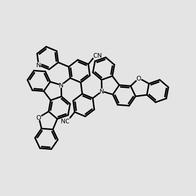 N#Cc1ccc(-n2c3ccccc3c3c4oc5ccccc5c4ccc32)c(-c2cc(C#N)cc(-c3cccnc3)c2-n2c3ccccc3c3c4oc5ccccc5c4ccc32)c1